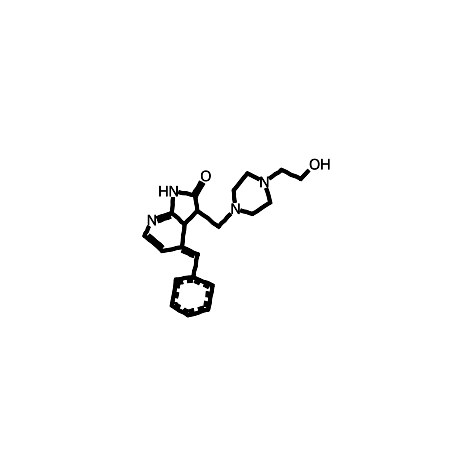 O=C1NC2=NC=CC(=Cc3ccccc3)C2C1CN1CCN(CCO)CC1